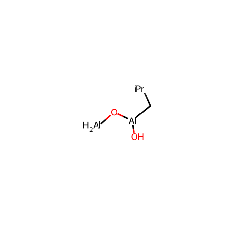 CC(C)[CH2][Al]([OH])[O][AlH2]